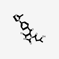 CCc1[nH]c(=O)n(C(=O)CC(C)O)c1C(=O)c1ccc(-n2ccnc2C)cc1